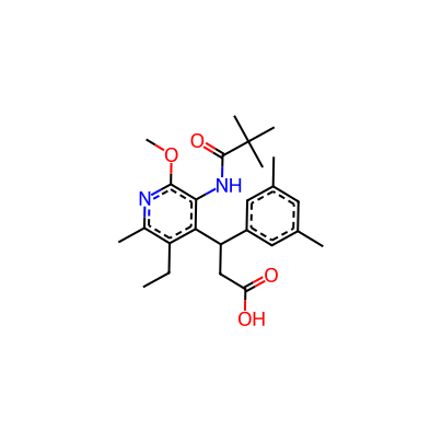 CCc1c(C)nc(OC)c(NC(=O)C(C)(C)C)c1C(CC(=O)O)c1cc(C)cc(C)c1